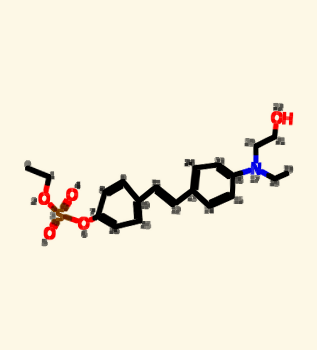 CCOS(=O)(=O)Oc1ccc(C=Cc2ccc(N(CC)CCO)cc2)cc1